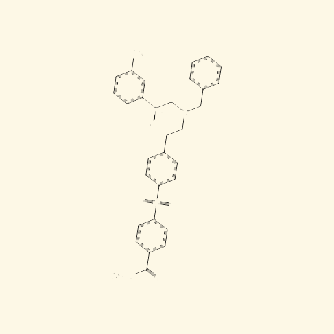 COC(=O)c1ccc(S(=O)(=O)c2ccc(CCN(Cc3ccccc3)C[C@@H](O)c3cccc(C#N)c3)cc2)cc1